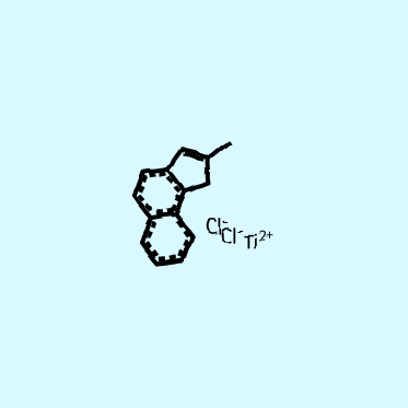 CC1=Cc2ccc3ccccc3c2C1.[Cl-].[Cl-].[Ti+2]